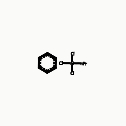 CCC[Si](Cl)(Cl)Cl.c1ccccc1